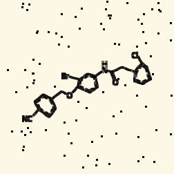 N#Cc1ccc(COc2ccc(NC(=O)Cc3ccccc3Cl)cc2Br)cc1